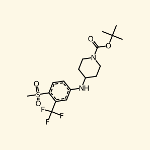 CC(C)(C)OC(=O)N1CCC(Nc2ccc(S(C)(=O)=O)c(C(F)(F)F)c2)CC1